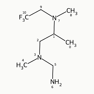 CC(CN(C)CN)N(C)CC(F)(F)F